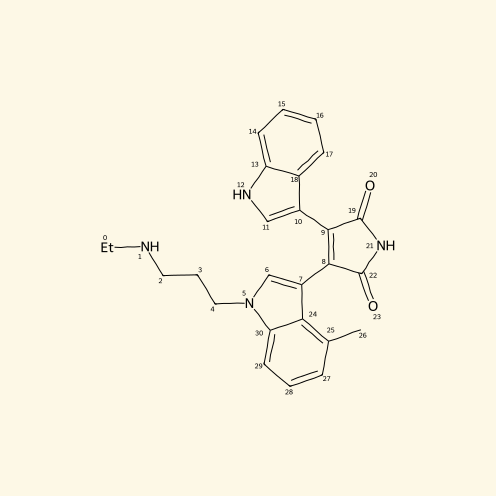 CCNCCCn1cc(C2=C(c3c[nH]c4ccccc34)C(=O)NC2=O)c2c(C)cccc21